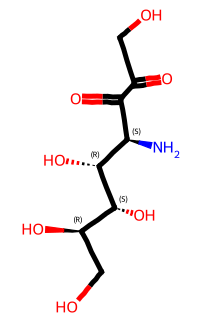 N[C@H](C(=O)C(=O)CO)[C@@H](O)[C@H](O)[C@H](O)CO